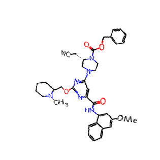 COc1cc(NC(=O)c2cc(N3CCN(C(=O)OCc4ccccc4)[C@@H](CC#N)C3)nc(OCC3CCCCN3C)n2)c2ccccc2c1